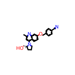 Cc1cc(N2CCC[C@@H]2CO)c2ccc(OCc3ccc(C#N)cc3)cc2n1